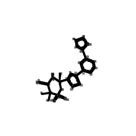 CC1(C)C(=N)N[C@](C)(c2cc(-c3cccc(-c4cnco4)c3)cs2)CS1(=O)=O